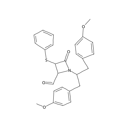 COc1ccc(CC(Cc2ccc(OC)cc2)N2C(=O)C(Sc3ccccc3)C2C=O)cc1